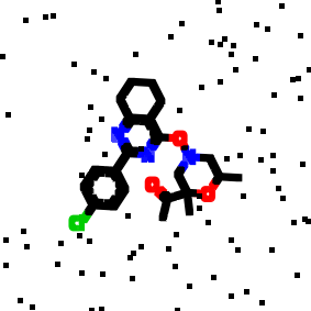 CC(=O)C1(C)CN(Oc2nc(-c3ccc(Cl)cc3)nc3c2CCCC3)CC(C)O1